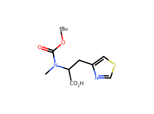 CN(C(=O)OC(C)(C)C)C(Cc1cscn1)C(=O)O